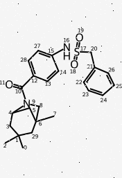 CC1(C)CC2CC(C)(CN2C(=O)c2ccc(NS(=O)(=O)Cc3ccccc3)cc2)C1